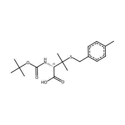 Cc1ccc(CSC(C)(C)[C@@H](NC(=O)OC(C)(C)C)C(=O)O)cc1